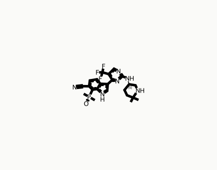 CC1(C)CC[C@H](Nc2ncc(C(F)(F)F)c(-c3c[nH]c4c(P(C)(C)=O)c(C#N)ccc34)n2)CN1